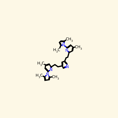 Cc1cc(CCc2cncc(CCc3cc(C)cc(-n4c(C)ccc4C)n3)c2)nc(-n2c(C)ccc2C)c1